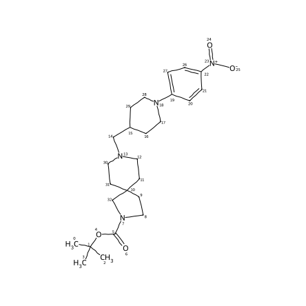 CC(C)(C)OC(=O)N1CCC2(CCN(CC3CCN(c4ccc([N+](=O)[O-])cc4)CC3)CC2)C1